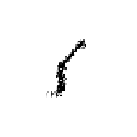 C=CC(=O)OCCCCCCCCCCCOc1ccc(C(=O)Oc2ccc(-c3ccc(OCCC)cn3)cc2)cc1